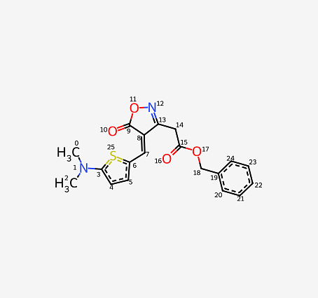 CN(C)c1ccc(/C=C2\C(=O)ON=C2CC(=O)OCc2ccccc2)s1